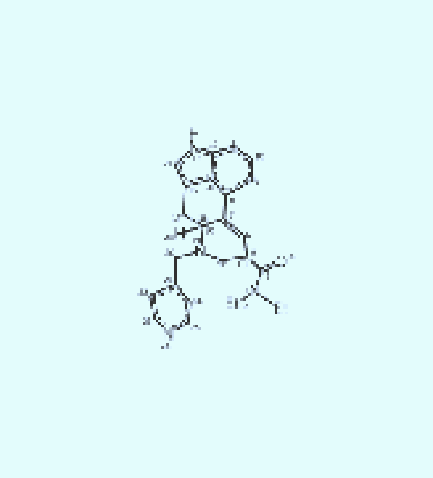 CCN(CC)C(=O)[C@@H]1C=C2c3cccc4[nH]cc(c34)C[C@H]2N(Cc2ccncc2)C1